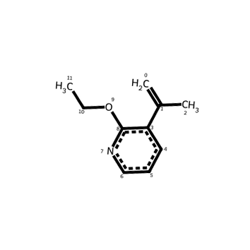 C=C(C)c1cccnc1OCC